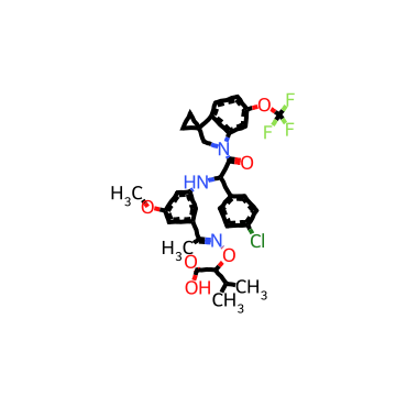 COc1cc(NC(C(=O)N2CC3(CC3)c3ccc(OC(F)(F)F)cc32)c2ccc(Cl)cc2)cc(C(C)=NOC(C(=O)O)C(C)C)c1